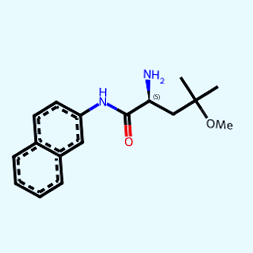 COC(C)(C)C[C@H](N)C(=O)Nc1ccc2ccccc2c1